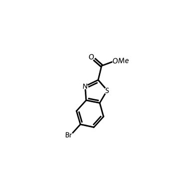 COC(=O)c1nc2cc(Br)ccc2s1